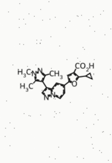 Cc1nn(C)c(C)c1-c1cnn2ccc(-c3cc(C(=O)O)c(C4CC4)o3)cc12